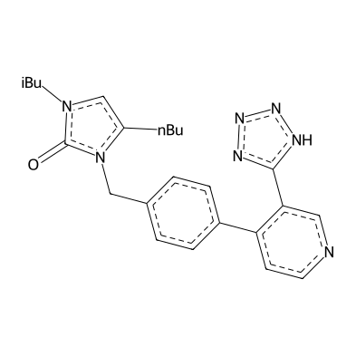 CCCCc1cn(C(C)CC)c(=O)n1Cc1ccc(-c2ccncc2-c2nnn[nH]2)cc1